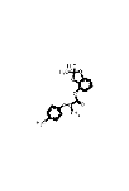 Cc1ccc(SN(C)C(=O)Oc2cccc3c2OC(C)(C)O3)cc1